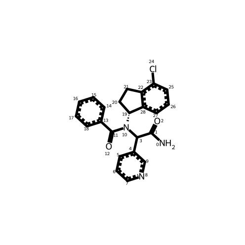 NC(=O)C(c1cccnc1)N(C(=O)c1ccccc1)[C@@H]1CCc2c(Cl)cccc21